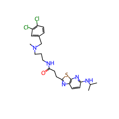 CC(C)Nc1ccc2nc(CCC(=O)NCCCN(C)Cc3ccc(Cl)c(Cl)c3)sc2n1